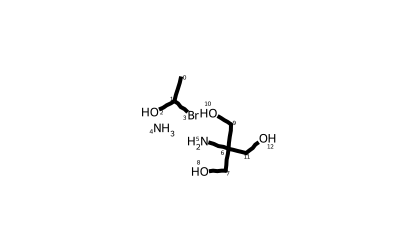 CC(O)Br.N.NC(CO)(CO)CO